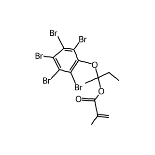 C=C(C)C(=O)OC(C)(CC)Oc1c(Br)c(Br)c(Br)c(Br)c1Br